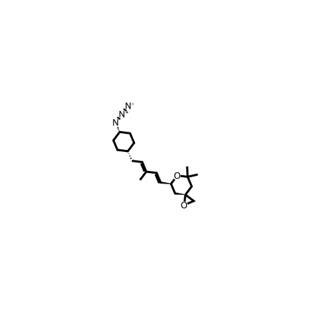 CC(/C=C/[C@@H]1C[C@]2(CO2)CC(C)(C)O1)=C\C[C@H]1CC[C@@H](N=[N+]=[N-])CC1